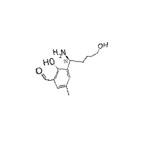 Cc1cc(C=O)c(O)c([C@@H](N)CCCO)c1